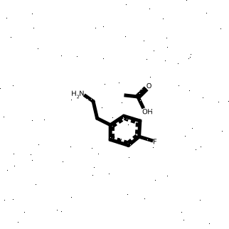 CC(=O)O.NCCc1ccc(F)cc1